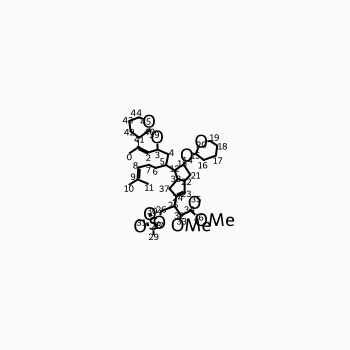 CC=CC(CC(CCC=C(C)C)C1C(OC2CCCCO2)CC2C=C(C(COS(C)(=O)=O)C(OC)C(=O)OC)CC21)OC1CCCCO1